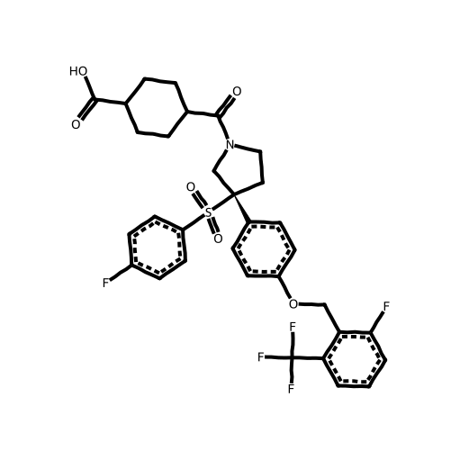 O=C(O)C1CCC(C(=O)N2CC[C@](c3ccc(OCc4c(F)cccc4C(F)(F)F)cc3)(S(=O)(=O)c3ccc(F)cc3)C2)CC1